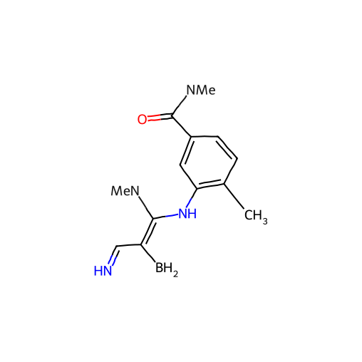 B/C(C=N)=C(/NC)Nc1cc(C(=O)NC)ccc1C